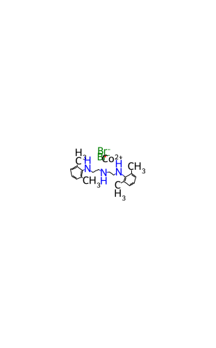 Cc1cccc(C)c1NCCNCCNc1c(C)cccc1C.[Br-].[Br-].[Co+2]